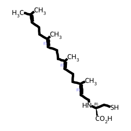 CC(C)=CCC/C(C)=C/CC/C(C)=C/CC/C(C)=C/CN[C@@H](CS)C(=O)O